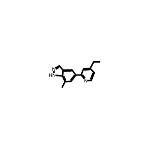 CCc1ccnc(-c2cc(C)c3[nH]ncc3c2)c1